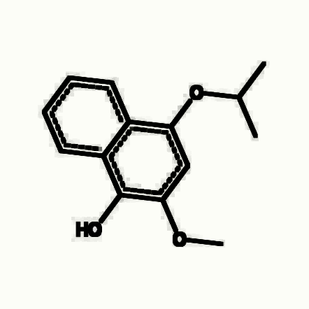 COc1cc(OC(C)C)c2ccccc2c1O